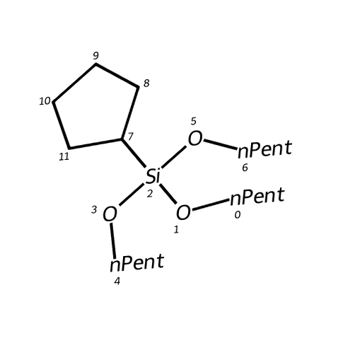 CCCCCO[Si](OCCCCC)(OCCCCC)C1CCCC1